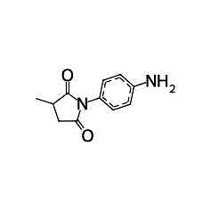 CC1CC(=O)N(c2ccc(N)cc2)C1=O